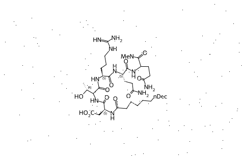 CCCCCCCCCCCCCCCC(=O)N[C@@H](CC(=O)O)C(=O)NC(C(=O)N[C@@H](CCCNC(=N)N)C(=O)N[C@@H](CCC(N)=O)C(=O)NC(CCC(N)=O)C(=O)NC)[C@@H](C)O